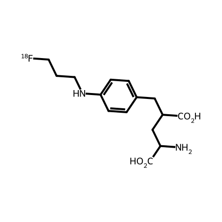 NC(CC(Cc1ccc(NCCC[18F])cc1)C(=O)O)C(=O)O